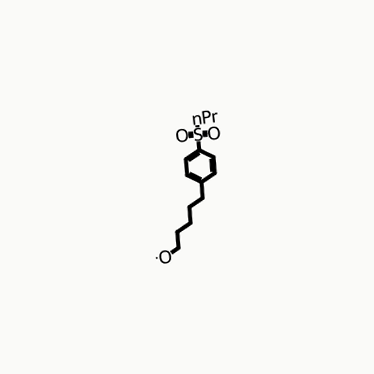 CCCS(=O)(=O)c1ccc(CCCCC[O])cc1